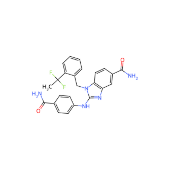 CC(F)(F)c1ccccc1Cn1c(Nc2ccc(C(N)=O)cc2)nc2cc(C(N)=O)ccc21